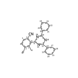 Cc1c(F)ccc(C#N)c1-c1nc(-c2ccccc2)nc(-c2ccccc2)n1